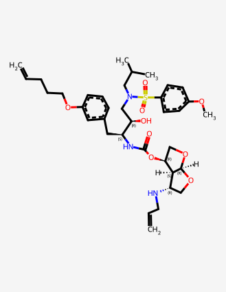 C=CCCCOc1cccc(C[C@H](NC(=O)O[C@H]2CO[C@H]3OC[C@H](NCC=C)[C@H]32)[C@H](O)CN(CC(C)C)S(=O)(=O)c2ccc(OC)cc2)c1